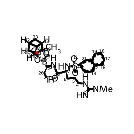 CNC(=N)NCCC[C@H](NS(=O)(=O)c1ccc2ccccc2c1)C(=O)N[C@@H](CC(C)C)B1O[C@@H]2C[C@@H]3C[C@@H](C3(C)C)[C@]2(C)O1